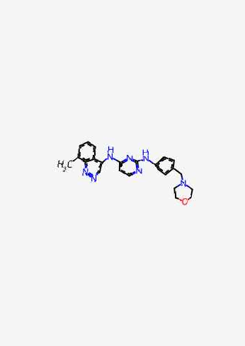 Cc1cccc2c(Nc3ccnc(Nc4ccc(CN5CCOCC5)cc4)n3)cnnc12